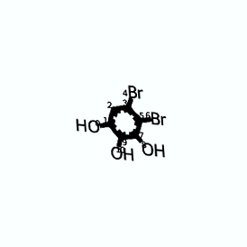 Oc1cc(Br)c(Br)c(O)c1O